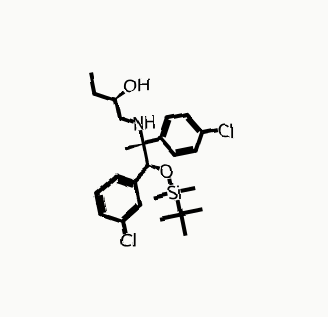 CC[C@@H](O)CN[C@](C)(c1ccc(Cl)cc1)[C@@H](O[Si](C)(C)C(C)(C)C)c1cccc(Cl)c1